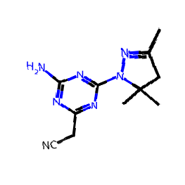 CC1=NN(c2nc(N)nc(CC#N)n2)C(C)(C)C1